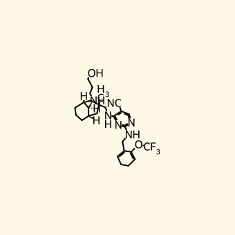 CC1(CNc2nc(NCC3=CCCC=C3OC(F)(F)F)ncc2C#N)C[C@H]2CCC[C@@H](C1)[C@@H]2NCCCO